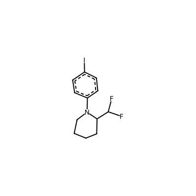 FC(F)C1CCCCN1c1ccc(I)cc1